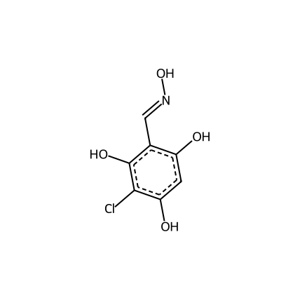 ON=Cc1c(O)cc(O)c(Cl)c1O